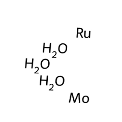 O.O.O.[Mo].[Ru]